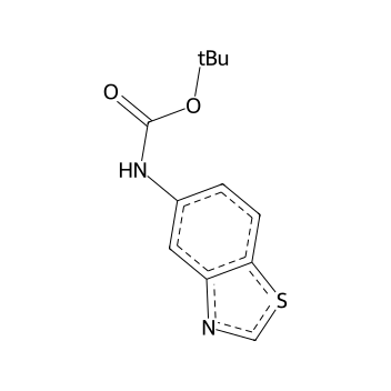 CC(C)(C)OC(=O)Nc1ccc2scnc2c1